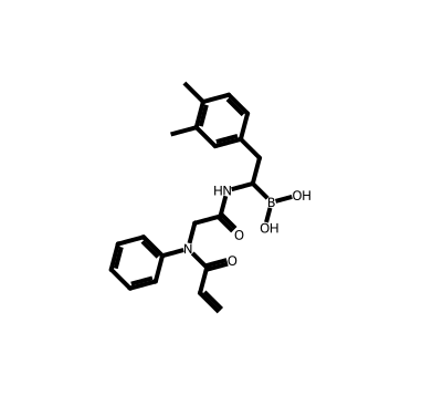 C=CC(=O)N(CC(=O)NC(Cc1ccc(C)c(C)c1)B(O)O)c1ccccc1